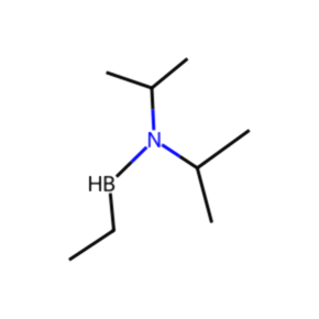 CCBN(C(C)C)C(C)C